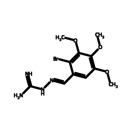 COc1cc(C=NNC(=N)N)c(Br)c(OC)c1OC